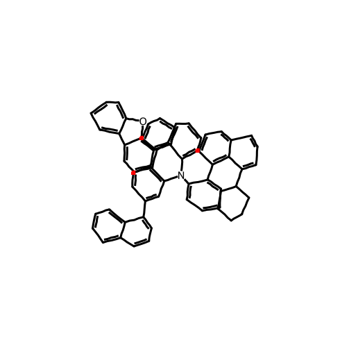 c1ccc(-c2ccc(-c3cccc4ccccc34)cc2N(c2ccccc2-c2cccc3c2oc2ccccc23)c2ccccc2-c2cccc3cccc(C4CCCCC4)c23)cc1